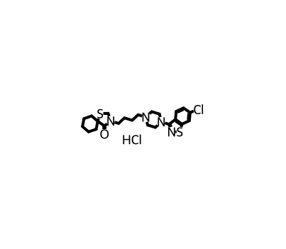 Cl.O=C1N(CCCCN2CCN(c3nsc4cc(Cl)ccc34)CC2)CSC12CCCCC2